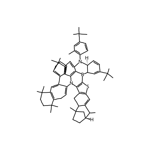 Cc1cc(C(C)(C)C)ccc1N1c2cc(C(C)(C)C)cc3c2B(c2sc4c(c2N3C2=CCC3=C(C=C2C2=CCCC=C2)C(C)(C)CCC3(C)C)CC2C(=C4)C(C)[C@@H]3CCC2(C)C3)C2C=C(C(C)(C)C)C=C[C@@H]21